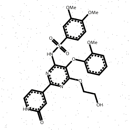 COc1ccc(S(=O)(=O)Nc2nc(-c3cc[nH]c(=O)c3)nc(OCCO)c2Oc2ccccc2OC)cc1OC